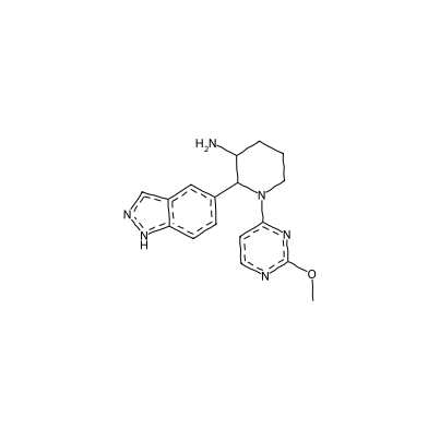 COc1nccc(N2CCCC(N)C2c2ccc3[nH]ncc3c2)n1